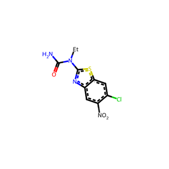 CCN(C(N)=O)c1nc2cc([N+](=O)[O-])c(Cl)cc2s1